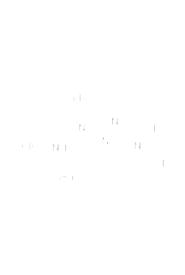 CCCCc1nc(SC(CCCC)NC=O)n(C(=O)N(C)C)n1